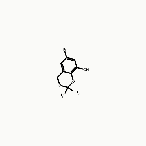 CC1(C)OCc2cc(Br)cc(O)c2O1